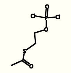 CC(=O)SCCOP(=O)(Cl)Cl